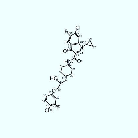 O=C(NN1CCN(CC(O)COc2ccc(Cl)c(F)c2)CC1)c1cn(C2CC2)c2cc(Cl)c(F)cc2c1=O